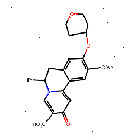 COc1cc2c(cc1OC1CCOCC1)CC(C(C)C)n1cc(C(=O)O)c(=O)cc1-2